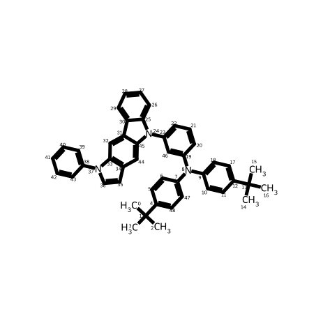 CC(C)(C)c1ccc(N(c2ccc(C(C)(C)C)cc2)c2cccc(-n3c4ccccc4c4cc5c(ccn5-c5ccccc5)cc43)c2)cc1